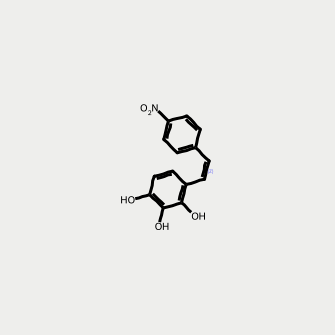 O=[N+]([O-])c1ccc(/C=C\c2ccc(O)c(O)c2O)cc1